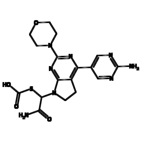 NC(=O)C(SC(=O)O)N1CCc2c(-c3cnc(N)nc3)nc(N3CCOCC3)nc21